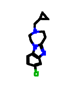 Clc1ccc2c(c1)nc1n2CCN(CC2CC2)CC1